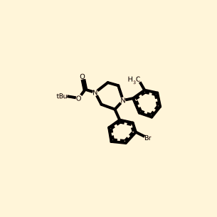 Cc1ccccc1N1CCN(C(=O)OC(C)(C)C)CC1c1cccc(Br)c1